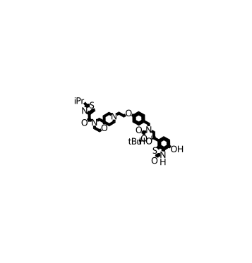 CC(C)c1nc(C(=O)N2CCOC3(CCN(CCOc4ccc(CN(C[C@H](O)c5ccc(O)c6[nH]c(=O)sc56)C(=O)OC(C)(C)C)cc4)CC3)C2)cs1